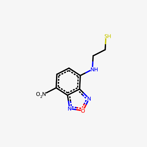 O=[N+]([O-])c1ccc(NCCS)c2nonc12